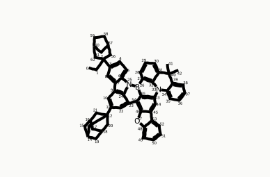 CCC1(c2ccc3c(c2)c2cc(C45CC6CC(CC(C6)C4)C5)cc4c2n3B2c3cccc5c3N(c3ccccc3C5(C)C)c3cc5c(oc6ccccc65)c-4c32)CC2CCC(C2)C1